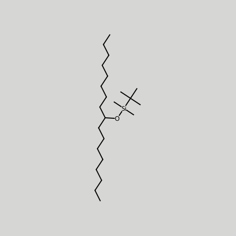 CCCCCCCCC(CCCCCCCC)O[Si](C)(C)C(C)(C)C